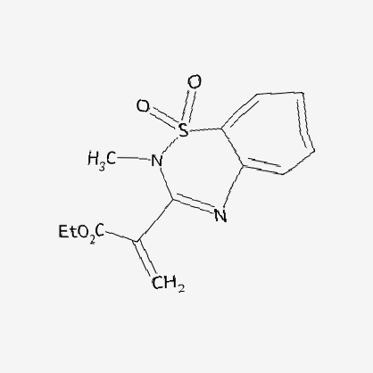 C=C(C(=O)OCC)C1=Nc2ccccc2S(=O)(=O)N1C